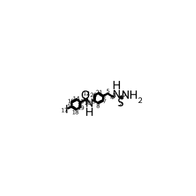 NC(=S)NCCc1ccc(NC(=O)c2ccc(I)cc2)cc1